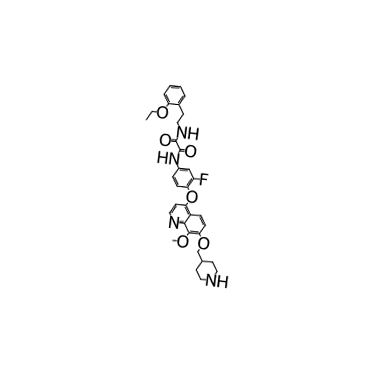 CCOc1ccccc1CCNC(=O)C(=O)Nc1ccc(Oc2ccnc3c(OC)c(OCC4CCNCC4)ccc23)c(F)c1